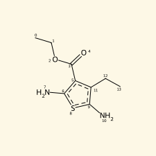 CCOC(=O)c1c(N)sc(N)c1CC